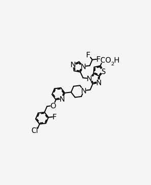 O=C(O)c1cc2c(nc(CN3CCC(c4cccc(OCc5ccc(Cl)cc5F)n4)CC3)n2Cc2cncn2CC(F)F)s1